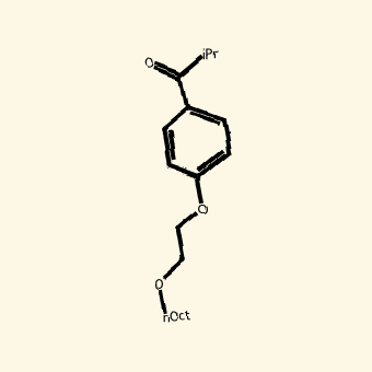 CCCCCCCCOCCOc1ccc(C(=O)C(C)C)cc1